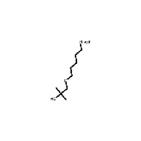 CCCCCCCCCCCCOCC(C)(C)O